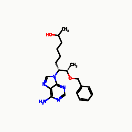 CC(O)CCCC[C@H]([C@H](C)OCc1ccccc1)n1cnc2c(N)ncnc21